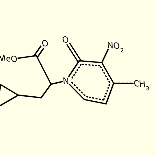 COC(=O)C(CC1CC1)n1ccc(C)c([N+](=O)[O-])c1=O